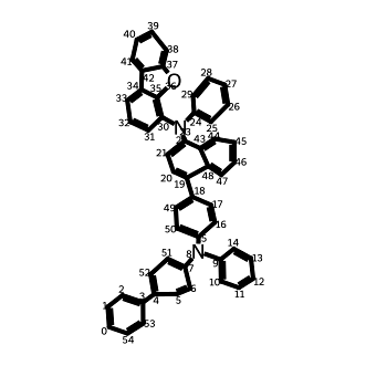 c1ccc(-c2ccc(N(c3ccccc3)c3ccc(-c4ccc(N(c5ccccc5)c5cccc6c5oc5ccccc56)c5ccccc45)cc3)cc2)cc1